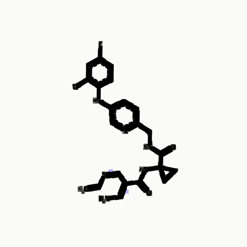 C=C/N=C\C(=C/N)C(=O)NC1(C(=O)NCc2ccc(Nc3ccc(F)cc3Cl)cn2)CC1